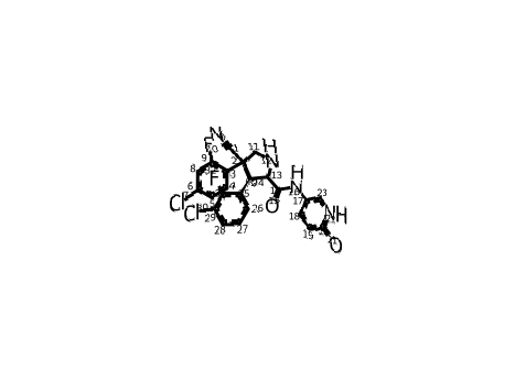 N#CC1(c2ccc(Cl)cc2F)CNC(C(=O)Nc2ccc(=O)[nH]c2)[C@H]1c1cccc(Cl)c1F